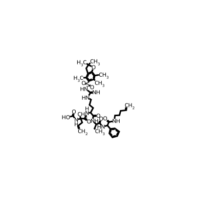 C=CCCCNC(=O)C(NC(=O)C(CC)NC(=O)C(CCCNC(=N)NS(=O)(=O)c1c(C)c(C)c2c(c1C)CC(C)(C)O2)NC(=O)C(C)(CC=C)NC(=O)O)c1ccccc1